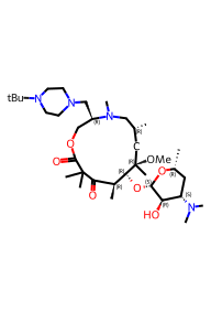 CO[C@]1(C)C[C@@H](C)CN(C)[C@H](CN2CCN(C(C)(C)C)CC2)COC(=O)C(C)(C)C(=O)[C@H](C)[C@H]1O[C@@H]1O[C@H](C)C[C@H](N(C)C)[C@H]1O